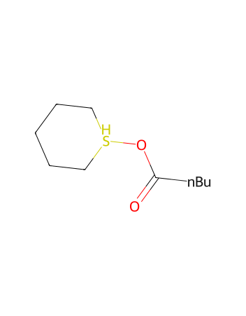 CCCCC(=O)O[SH]1CCCCC1